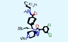 CC(C)(C)CC[C@H](c1ccc(C(=O)NCCC(=O)O)cc1)N1C(=O)C(c2cc(Cl)cc(Cl)c2)=NC12CCN(C(C)(C)C)CC2